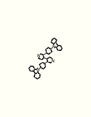 c1ccc2c(c1)c1ccccc1n2-c1ccc(-c2cnccc2-c2ccncc2-c2ccc(-n3c4ccccc4c4ccccc43)cc2)cc1